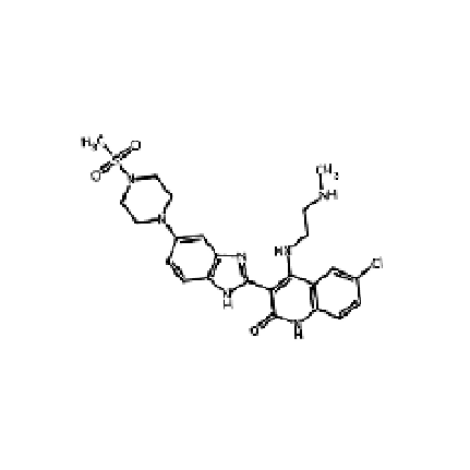 CNCCNc1c(-c2nc3cc(N4CCN(S(C)(=O)=O)CC4)ccc3[nH]2)c(=O)[nH]c2ccc(Cl)cc12